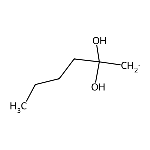 [CH2]C(O)(O)CCCC